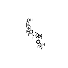 C=CC(=O)Nc1cccc(-c2noc3cnc(Nc4ccc(N5CCN(CC(C)(C)O)CC5)c(F)c4F)nc23)c1